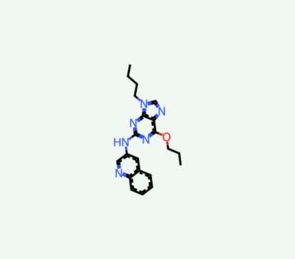 CCCCn1cnc2c(OCCC)nc(Nc3cnc4ccccc4c3)nc21